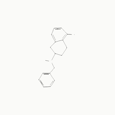 C[As](Cc1ccccc1)C1CCc2c(O)cccc2C1